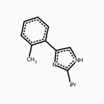 Cc1ccccc1-c1c[nH]c(C(C)C)n1